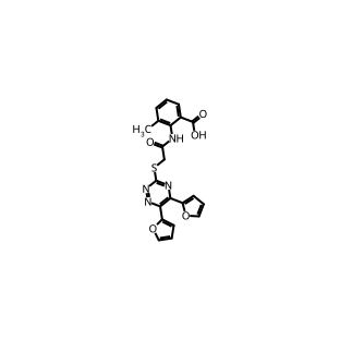 Cc1cccc(C(=O)O)c1NC(=O)CSc1nnc(-c2ccco2)c(-c2ccco2)n1